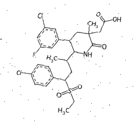 CCS(=O)(=O)C(CC(C)C1NC(=O)C(C)(CC(=O)O)CC1c1cc(F)cc(Cl)c1)c1ccc(Cl)cc1